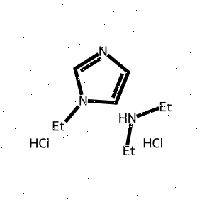 CCNCC.CCn1ccnc1.Cl.Cl